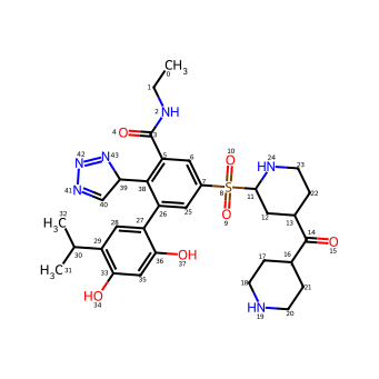 CCNC(=O)c1cc(S(=O)(=O)C2CC(C(=O)[C]3CCNCC3)CCN2)cc(-c2cc(C(C)C)c(O)cc2O)c1C1C=NN=N1